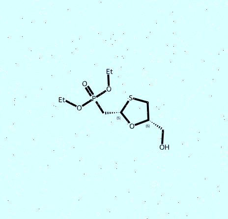 CCOP(=O)(C[C@H]1O[C@@H](CO)CS1)OCC